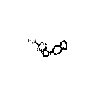 CCC(=O)On1ccn(C2CCc3ccccc3C2)c1=S